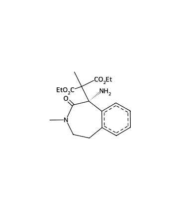 CCOC(=O)C(C)(C(=O)OCC)[C@]1(N)C(=O)N(C)CCc2ccccc21